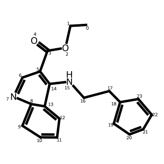 CCOC(=O)c1cnc2ccccc2c1NCCc1ccccc1